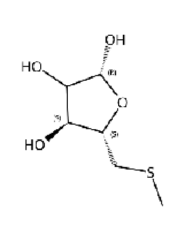 CSC[C@H]1O[C@@H](O)C(O)[C@@H]1O